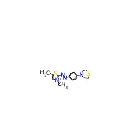 Cc1c[n+](C)c(/N=N/c2ccc(N3CCSCC3)cc2)s1